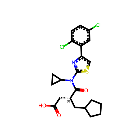 O=C(O)C[C@@H](CC1CCCC1)C(=O)N(c1nc(-c2cc(Cl)ccc2Cl)cs1)C1CC1